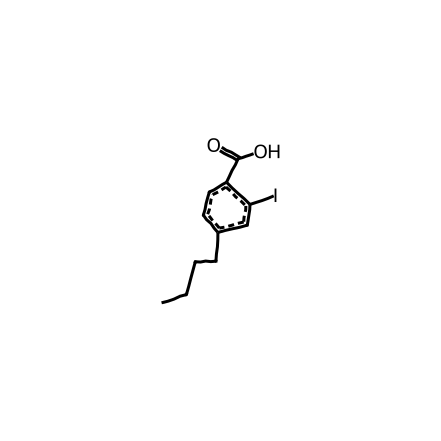 CCCCc1ccc(C(=O)O)c(I)c1